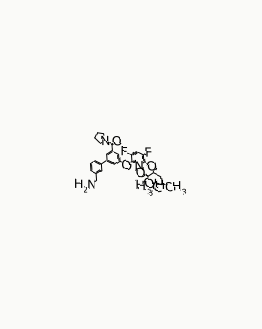 CC(C)CC(Oc1nc(Oc2cc(C(=O)N3CCCC3)cc(-c3cccc(CN)c3)c2)c(F)cc1F)C(=O)O